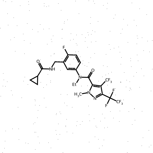 CCN(C(=O)c1c(C(F)(F)F)c(C(F)(F)C(F)(F)F)nn1C)c1ccc(F)c(CNC(=O)C2CC2)c1